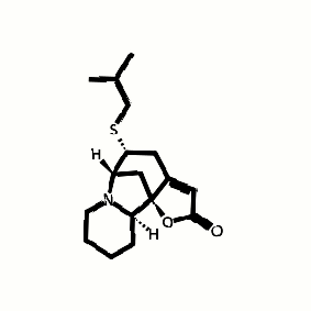 CC(C)CS[C@@H]1CC2=CC(=O)O[C@@]23C[C@@H]1N1CCCC[C@@H]13